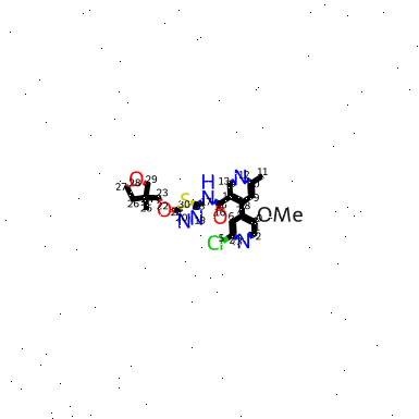 COc1cnc(Cl)cc1-c1cc(C)ncc1C(=O)Nc1nnc(OCC2(C)CCOC2)s1